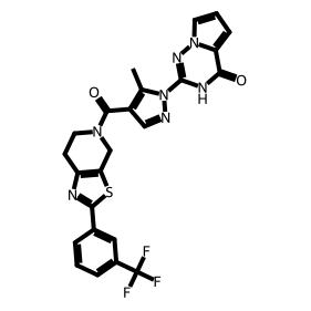 Cc1c(C(=O)N2CCc3nc(-c4cccc(C(F)(F)F)c4)sc3C2)cnn1-c1nn2cccc2c(=O)[nH]1